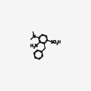 CN(C)c1ccc(S(=O)(=O)O)c(Cc2ccccc2)c1N